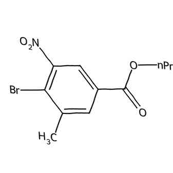 CCCOC(=O)c1cc(C)c(Br)c([N+](=O)[O-])c1